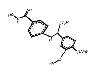 CCCOc1cc(C(Nc2ccc(C(=N)NO)cc2)C(=O)O)ccc1OC